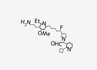 CCc1nc(CCCC[C@H](F)C2CCN([C@H](C=O)c3cccnc3C3CCC3)C2)cc(OC)c1CCCN